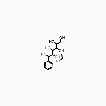 CCO.OCC(O)C(O)C(O)C(O)C(O)c1ccccc1